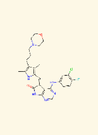 Cc1[nH]c(C=C2C(=O)Nc3ncnc(Nc4ccc(F)c(Cl)c4)c32)c(C)c1CCCN1CCOCC1